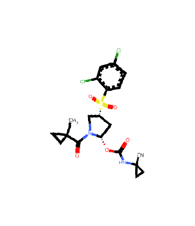 CC1(C(=O)N2C[C@H](S(=O)(=O)c3ccc(Cl)cc3Cl)C[C@@H]2OC(=O)NC2(C#N)CC2)CC1